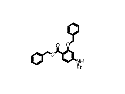 CCNc1ccc(C(=O)OCc2ccccc2)c(OCc2ccccc2)c1